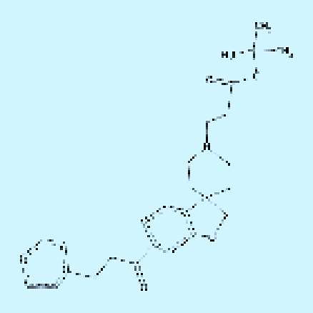 CC(C)(C)OC(=O)CCN1CCC2(CC1)COc1cc(C(=O)CCc3ccccc3)ccc12